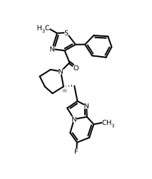 Cc1nc(C(=O)N2CCCC[C@H]2Cc2cn3cc(F)cc(C)c3n2)c(-c2ccccc2)s1